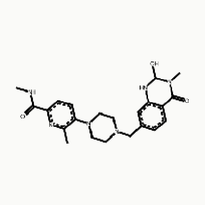 CNC(=O)c1ccc(N2CCN(Cc3ccc4c(c3)NC(O)N(C)C4=O)CC2)c(C)n1